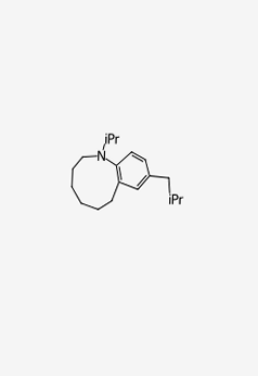 CC(C)Cc1ccc2c(c1)CCCCCCN2C(C)C